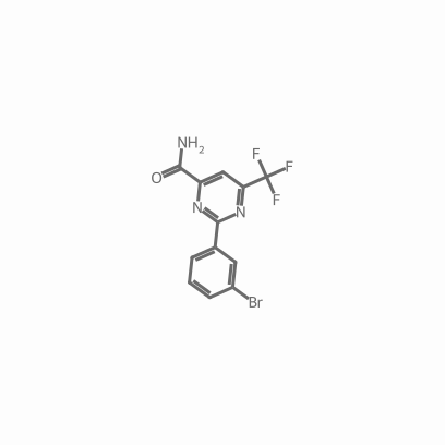 NC(=O)c1cc(C(F)(F)F)nc(-c2cccc(Br)c2)n1